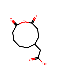 O=C(O)CC1CCCCC(=O)OC(=O)CC1